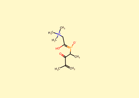 C=C(C)C(=O)C(C)/[P+]([O-])=C(\O)C[N+](C)(C)C